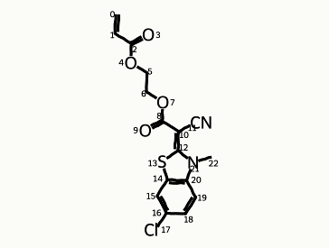 C=CC(=O)OCCOC(=O)/C(C#N)=C1\Sc2cc(Cl)ccc2N1C